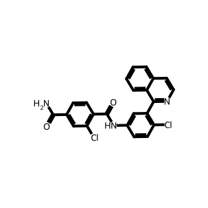 NC(=O)c1ccc(C(=O)Nc2ccc(Cl)c(-c3nccc4ccccc34)c2)c(Cl)c1